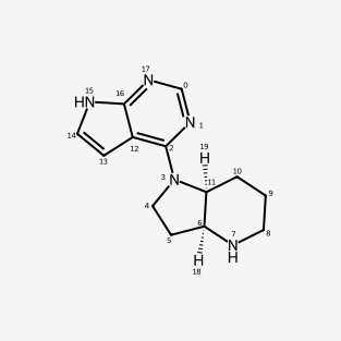 c1nc(N2CC[C@@H]3NCCC[C@@H]32)c2cc[nH]c2n1